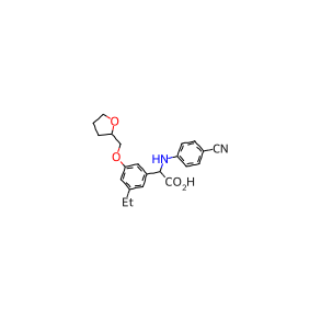 CCc1cc(OCC2CCCO2)cc(C(Nc2ccc(C#N)cc2)C(=O)O)c1